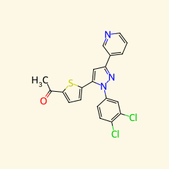 CC(=O)c1ccc(-c2cc(-c3cccnc3)nn2-c2ccc(Cl)c(Cl)c2)s1